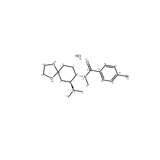 CN(C)[C@H]1CC2(CC[C@@H]1N(C)C(=O)c1ccc(Br)cc1)OCCO2.Cl